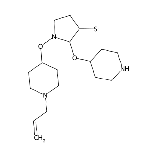 C=CCN1CCC(ON2CCC([S])C2OC2CCNCC2)CC1